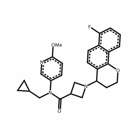 COc1ccc(N(CC2CC2)C(=O)C2CN(C3CCOc4c3ccc3c(F)cccc43)C2)cn1